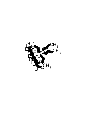 CCCC[N+](CCCC)(CCCC)CCCC.O=C([O-])C(F)(F)C(F)(F)C(F)(F)C(F)(F)C(F)(F)C(F)(F)F